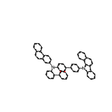 c1ccc(-c2ccccc2N(c2ccc(-c3ccc(-n4c5ccccc5c5ccc6ccccc6c54)cc3)cc2)c2ccc3c(ccc4ccccc43)c2)cc1